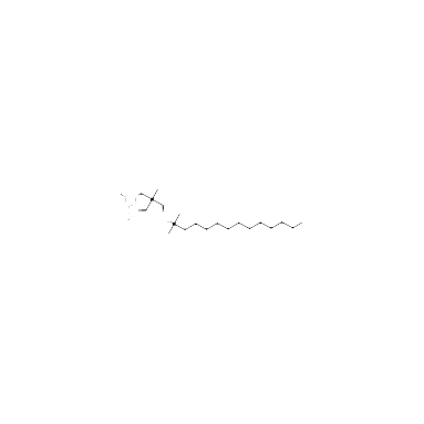 CCCCCCCCCCCCC(C)(C)OCC(C)(COC)COC